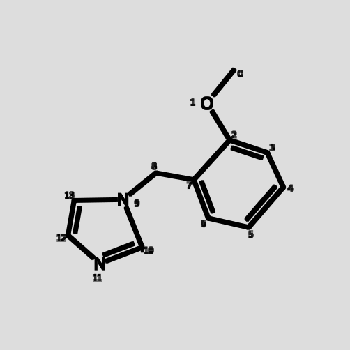 COc1ccccc1Cn1[c]ncc1